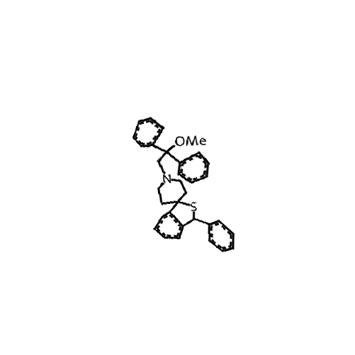 COC(CN1CCC2(CC1)SC(c1ccccc1)c1ccccc12)(c1ccccc1)c1ccccc1